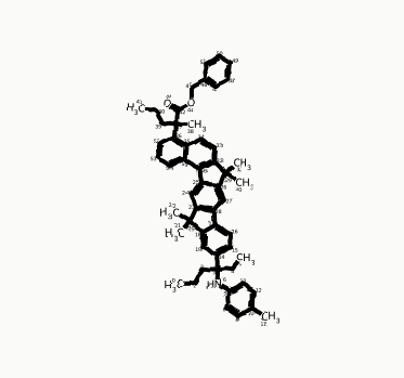 CCCC(CC)(Nc1ccc(C)cc1)c1ccc2c(c1)C(C)(C)c1cc3c(cc1-2)C(C)(C)c1ccc2c(C(C)(CCC)C(=O)OCc4ccccc4)cccc2c1-3